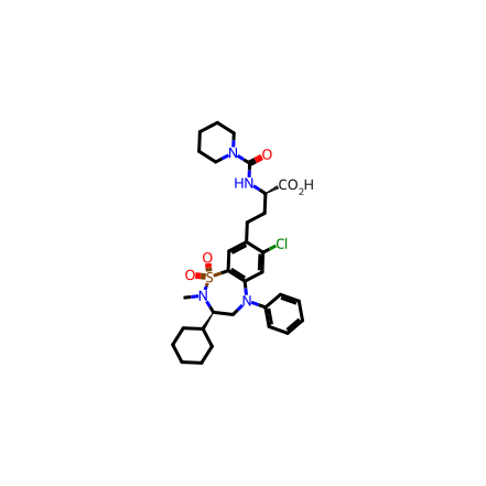 CN1[C@H](C2CCCCC2)CN(c2ccccc2)c2cc(Cl)c(CC[C@@H](NC(=O)N3CCCCC3)C(=O)O)cc2S1(=O)=O